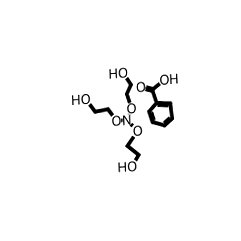 O=C(O)c1ccccc1.OCCON(OCCO)OCCO